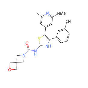 CNc1cc(C2=C(c3cccc(C#N)c3)NC(NC(=O)N3CC4(COC4)C3)S2)cc(C)n1